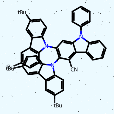 CC(C)(C)c1ccc2c(c1)c1cc(C(C)(C)C)ccc1n2-c1cc2c(c(C#N)c1-n1c3ccc(C(C)(C)C)cc3c3cc(C(C)(C)C)ccc31)c1ccccc1n2-c1ccccc1